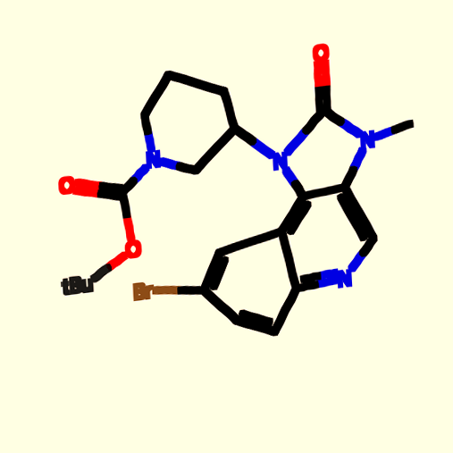 Cn1c(=O)n(C2CCCN(C(=O)OC(C)(C)C)C2)c2c3cc(Br)ccc3ncc21